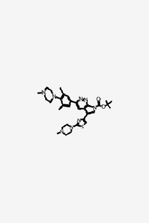 Cc1cc(-c2cc3c(-c4csc(N5CCN(C)CC5)n4)cn(C(=O)OC(C)(C)C)c3nn2)cc(C)c1N1CCN(C)CC1